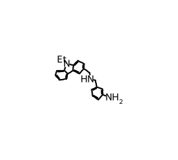 CCn1c2ccccc2c2cc(CNCc3cccc(N)c3)ccc21